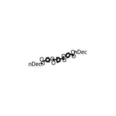 CCCCCCCCCCOC(=O)c1ccc(OC(=O)c2ccc(C(=O)Oc3ccc(C(=O)OCCCCCCCCCC)cc3)cc2)cc1